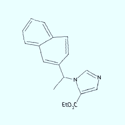 CCOC(=O)c1cncn1C(C)c1ccc2ccccc2c1